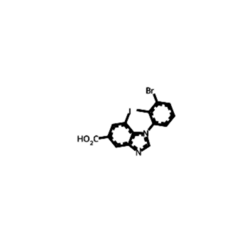 Cc1c(Br)cccc1-n1cnc2cc(C(=O)O)cc(I)c21